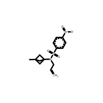 C=CCN(C12CC(I)(C1)C2)S(=O)(=O)c1ccc([N+](=O)[O-])cc1